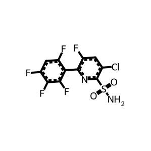 NS(=O)(=O)c1nc(-c2c(F)cc(F)c(F)c2F)c(F)cc1Cl